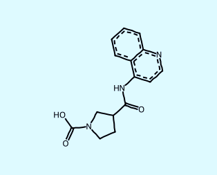 O=C(Nc1ccnc2ccccc12)C1CCN(C(=O)O)C1